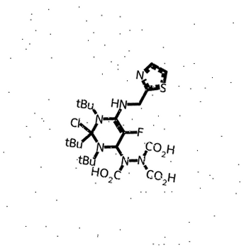 CC(C)(C)N1C(NCc2nccs2)=C(F)C(N(C(=O)O)N(C(=O)O)C(=O)O)N(C(C)(C)C)C1(Cl)C(C)(C)C